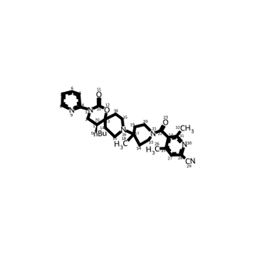 CCCC[C@H]1CN(c2ccccn2)C(=O)OC12CCN(C1(C)CCN(C(=O)c3c(C)cc(C#N)nc3C)CC1)CC2